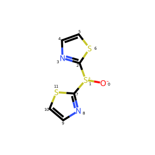 [O-][S+](c1nccs1)c1nccs1